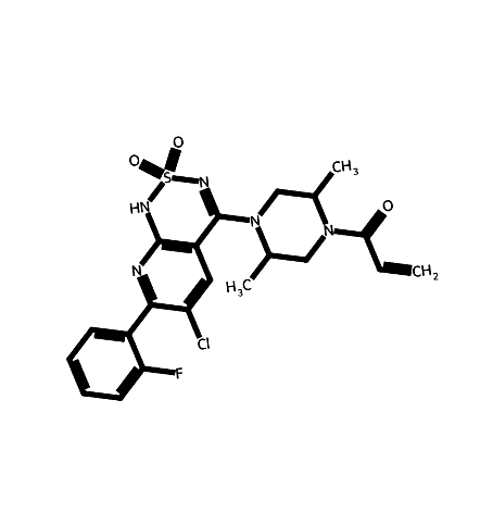 C=CC(=O)N1CC(C)N(C2=NS(=O)(=O)Nc3nc(-c4ccccc4F)c(Cl)cc32)CC1C